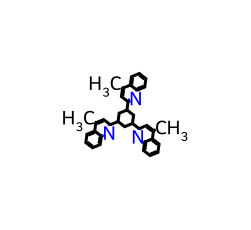 Cc1cc(C2CC(c3cc(C)c4ccccc4n3)CC(c3cc(C)c4ccccc4n3)C2)nc2ccccc12